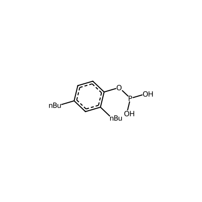 CCCCc1ccc(OP(O)O)c(CCCC)c1